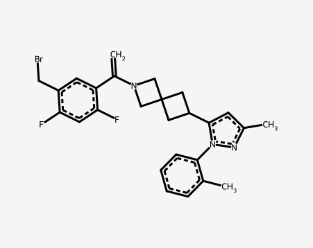 C=C(c1cc(CBr)c(F)cc1F)N1CC2(CC(c3cc(C)nn3-c3ccccc3C)C2)C1